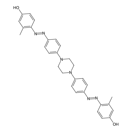 Cc1cc(O)ccc1/N=N/c1ccc(N2CCN(c3ccc(/N=N/c4ccc(O)cc4C)cc3)CC2)cc1